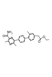 CCOC(=O)Cc1ccc(-c2ccc(-c3nc(C(N)=O)c(C)nc3C)cc2)c(C)c1